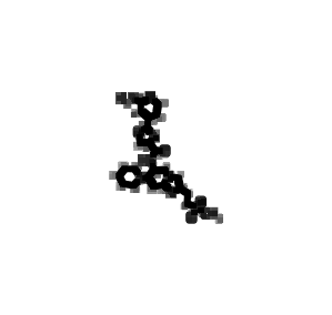 CS(=O)(=O)CCc1cn2cc(NC(=O)c3coc(-c4ccnc(N)c4)n3)c(N3CCCCC3)cc2n1